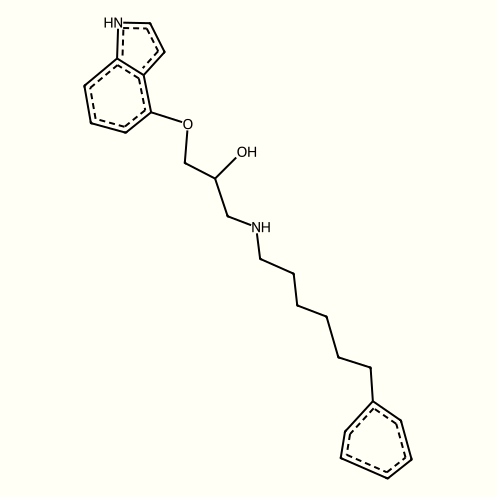 OC(CNCCCCCCc1ccccc1)COc1cccc2[nH]ccc12